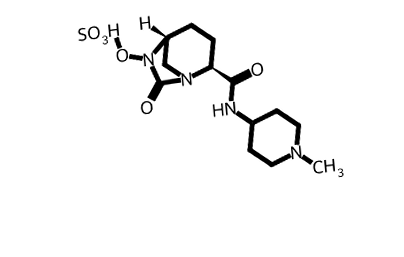 CN1CCC(NC(=O)[C@@H]2CC[C@@H]3CN2C(=O)N3OS(=O)(=O)O)CC1